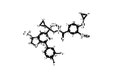 COc1cc(C(=O)NC[C@](O)(c2cc3c(c(-c4ccc(F)c(F)c4)n2)OC[C@H]3C(F)(F)F)C2CC2)ccc1OC1CC1